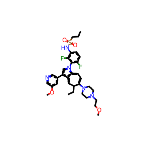 CCCS(=O)(=O)Nc1ccc(F)c(-n2cc(-c3cncc(OC)c3)c3c2=CC=C(N2CCN(CCOC)CC2)C(CC)C=3)c1F